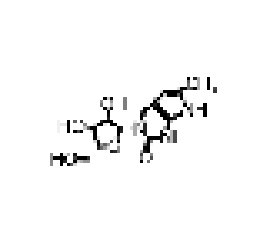 Cc1cc2c([nH]1)NC(=O)N([C@@H]1O[C@H](CO)[C@@H](O)[C@H]1O)C2